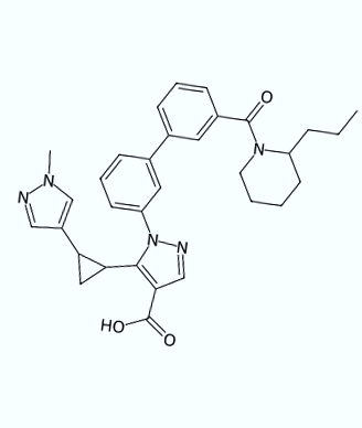 CCCC1CCCCN1C(=O)c1cccc(-c2cccc(-n3ncc(C(=O)O)c3C3CC3c3cnn(C)c3)c2)c1